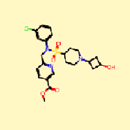 COC(=O)c1ccc(CN(c2cccc(Cl)c2)S(=O)(=O)C2CCN(C3CC(O)C3)CC2)nc1